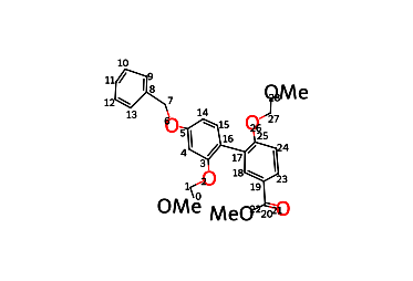 COCOc1cc(OCc2ccccc2)ccc1-c1cc(C(=O)OC)ccc1OCOC